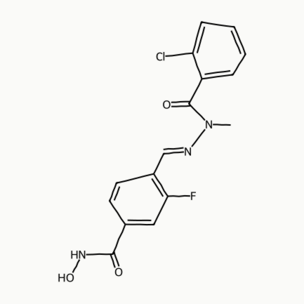 CN(/N=C/c1ccc(C(=O)NO)cc1F)C(=O)c1ccccc1Cl